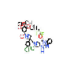 COc1cc(C(=O)N2CCC(CCN3CCC(Nc4nc5ccccc5n4CCOC(F)(F)F)CC3)(c3ccc(Cl)c(Cl)c3)C2)cc(OC)c1OC